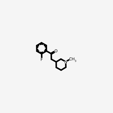 CN1CCCC(CC(=O)c2ccccc2F)C1